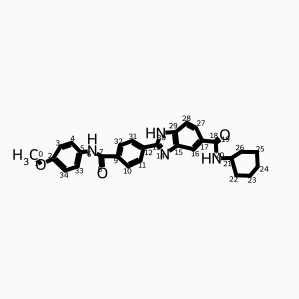 COc1ccc(NC(=O)c2ccc(-c3nc4cc(C(=O)NC5CCCCC5)ccc4[nH]3)cc2)cc1